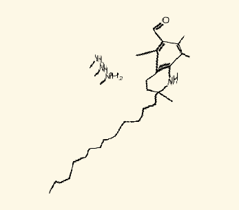 CCCCCCCCCCCCCC1(C)CCc2c(C)c(C=O)c(C)c(C)c2N1.CN.CN.CN